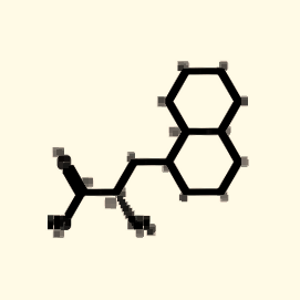 N[C@@H](CC1CCCC2CCCCC21)C(=O)O